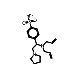 C=CCN(CC=C)C(CN1CCCC1)c1ccc(S(=O)(=O)CCC)cc1